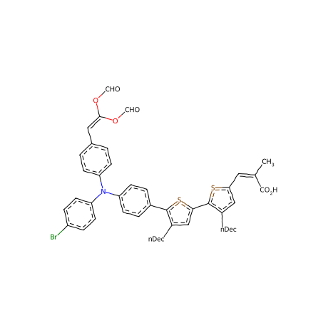 CCCCCCCCCCc1cc(-c2sc(/C=C(/C)C(=O)O)cc2CCCCCCCCCC)sc1-c1ccc(N(c2ccc(Br)cc2)c2ccc(C=C(OC=O)OC=O)cc2)cc1